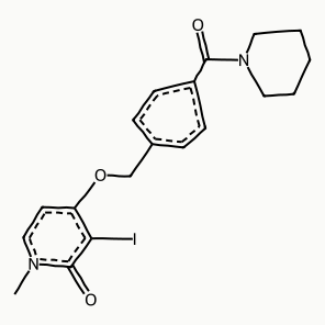 Cn1ccc(OCc2ccc(C(=O)N3CCCCC3)cc2)c(I)c1=O